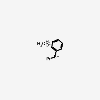 CC(C)Bc1ccccc1.O.O